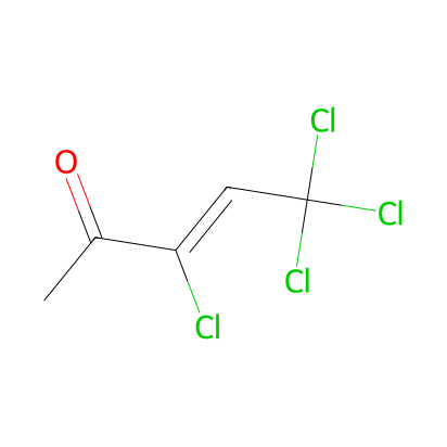 CC(=O)C(Cl)=CC(Cl)(Cl)Cl